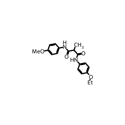 CCOc1ccc(NC(=O)[C](C)C(=O)Nc2ccc(OC)cc2)cc1